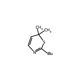 CCC(C)C1=NC=CC(C)(C)S1